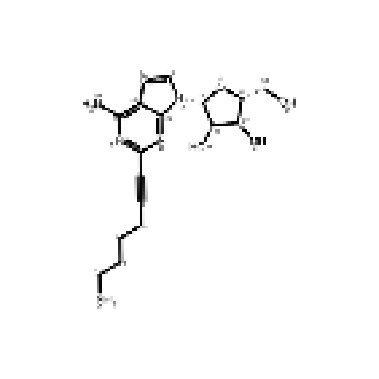 NCCCCC#Cc1nc(N)c2ncn([C@@H]3O[C@H](CO)[C@@H](O)[C@H]3O)c2n1